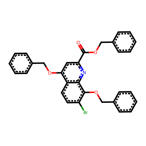 O=C(OCc1ccccc1)c1cc(OCc2ccccc2)c2ccc(Br)c(OCc3ccccc3)c2n1